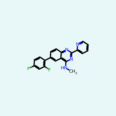 CNc1nc(-c2ccccn2)nc2ccc(-c3ccc(F)cc3F)cc12